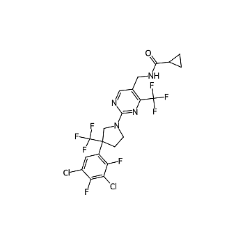 O=C(NCc1cnc(N2CCC(c3cc(Cl)c(F)c(Cl)c3F)(C(F)(F)F)C2)nc1C(F)(F)F)C1CC1